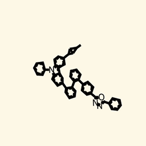 CC1C2C(c3ccc4c(c3)c3cc(-c5ccccc5-c5ccccc5-c5ccc(-c6nnc(-c7ccccc7)o6)cc5)ccc3n4-c3ccccc3)C12